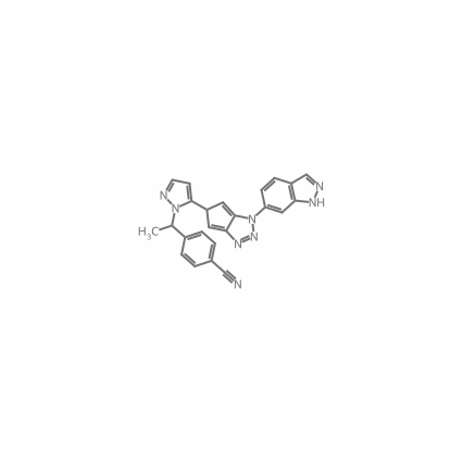 CC(c1ccc(C#N)cc1)n1nccc1C1C=c2nnn(-c3ccc4cn[nH]c4c3)c2=C1